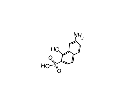 Nc1ccc2ccc(S(=O)(=O)O)c(O)c2c1